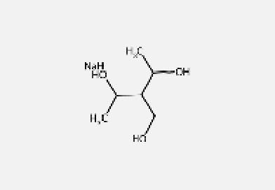 CC(O)C(CO)C(C)O.[NaH]